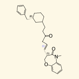 CN1C(=O)[C@@H](/C=C/CC(=O)CCC2CCC[C@@H](Cc3ccccc3)C2)COc2ccccc21